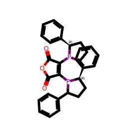 O=C1OC(=O)C(P2C(c3ccccc3)CC[C@@H]2c2ccccc2)=C1P1CCC[C@@H]1c1ccccc1